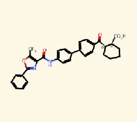 O=C(Nc1ccc(-c2ccc(C(=O)[C@@H]3CCCC[C@@H]3C(=O)O)cc2)cc1)c1nc(-c2ccccc2)oc1C(F)(F)F